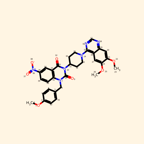 COc1ccc(Cn2c(=O)n(C3CCN(c4ncnc5cc(OC)c(OC)cc45)CC3)c(=O)c3cc([N+](=O)[O-])ccc32)cc1